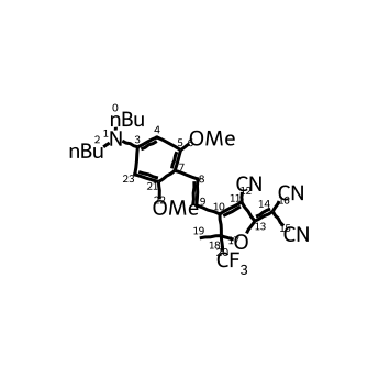 CCCCN(CCCC)c1cc(OC)c(C=CC2=C(C#N)C(=C(C#N)C#N)OC2(C)C(F)(F)F)c(OC)c1